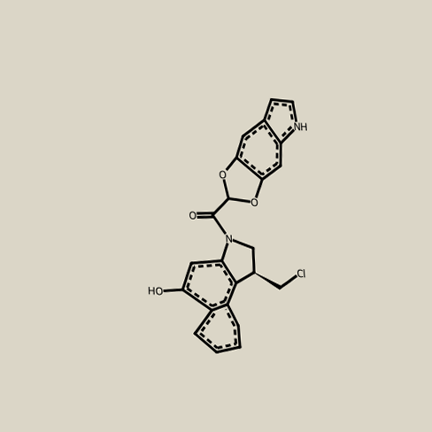 O=C(C1Oc2cc3cc[nH]c3cc2O1)N1C[C@@H](CCl)c2c1cc(O)c1ccccc21